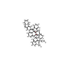 CC1(C)c2ccccc2-c2c(-c3ccc(N(c4ccc5sc6ccccc6c5c4)c4ccccc4-c4ccccc4)c4ccccc34)cc3ccccc3c21